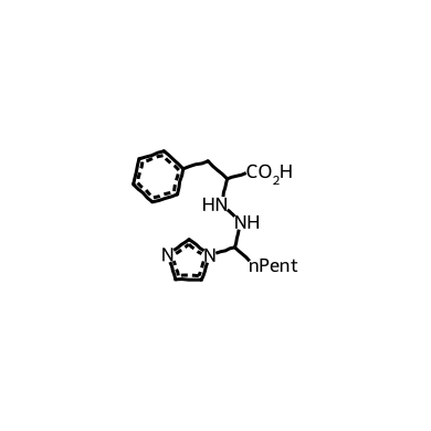 CCCCCC(NNC(Cc1ccccc1)C(=O)O)n1ccnc1